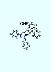 C(=NC(N=Cc1ccccc1)c1ccccc1)c1ccccc1.O=Cc1ccc2c(c1)Sc1ccccc1S2